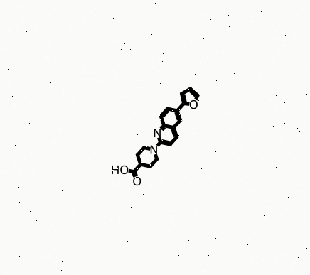 O=C(O)C1CCN(c2ccc3cc(-c4ccco4)ccc3n2)CC1